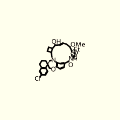 CC[C@@H]1[C@@H](OC)C/C=C/C(O)C2CCC2CN2C[C@@]3(CCCc4cc(Cl)ccc43)COc3ccc(cc32)C(=O)NS1(=O)=O